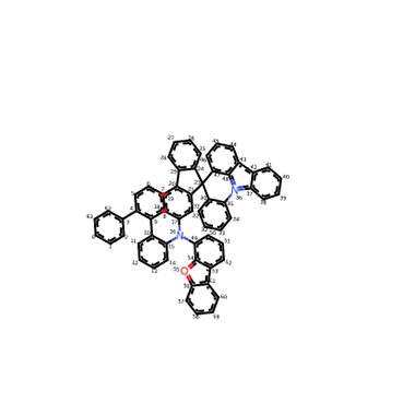 c1ccc(-c2ccccc2-c2ccccc2N(c2ccc3c(c2)C2(c4ccccc4-3)c3ccccc3-n3c4ccccc4c4cccc2c43)c2cccc3c2oc2ccccc23)cc1